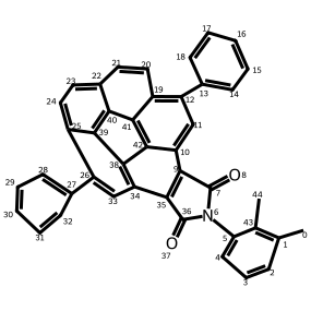 Cc1cccc(-n2c(=O)c3c4cc(-c5ccccc5)c5ccc6ccc7c(-c8ccccc8)cc(c3c2=O)c2c7c6c5c42)c1C